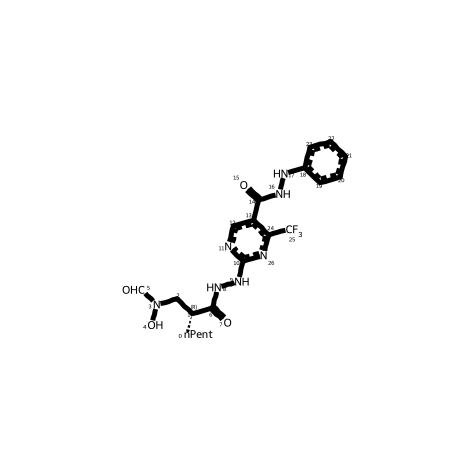 CCCCC[C@H](CN(O)C=O)C(=O)NNc1ncc(C(=O)NNc2ccccc2)c(C(F)(F)F)n1